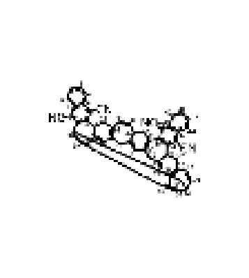 N#Cc1c2c(c(C#N)c3ccccc13)C1CC3=C4C=C1CC1=C2CC2C=CC5=C(C=C6CC7=C(CC(C=C3)C(=C7)C4)c3c(c(C#N)c4ccccc4c3C#N)C6C5)CC2=C1